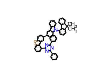 CC1(C)c2ccccc2-c2c(-n3c4ccccc4c4cc(-c5ccc6sc7cccc(-c8nc(-c9ccccc9)nc(-c9ccccc9)n8)c7c6c5)ccc43)cccc21